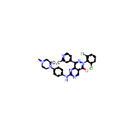 CN1CCN(c2ccc(Nc3ncc4c(=O)n(-c5c(Cl)cccc5Cl)nc(-c5ccnc(C(=O)O)c5)c4n3)cc2)CC1